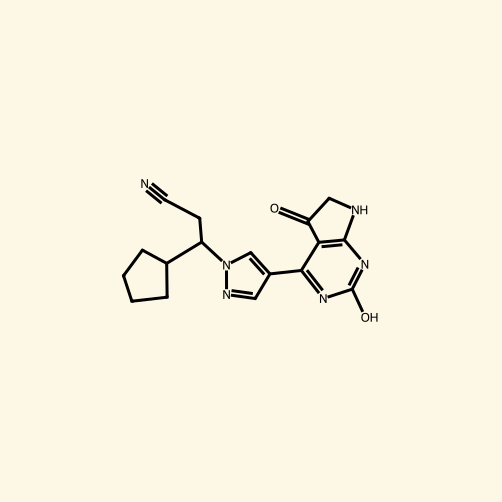 N#CCC(C1CCCC1)n1cc(-c2nc(O)nc3c2C(=O)CN3)cn1